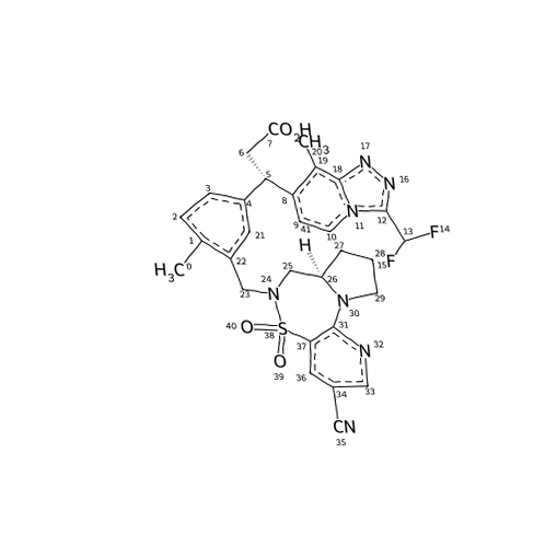 Cc1ccc([C@H](CC(=O)O)c2ccn3c(C(F)F)nnc3c2C)cc1CN1C[C@H]2CCCN2c2ncc(C#N)cc2S1(=O)=O